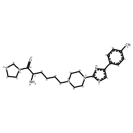 N#Cc1ccc(-c2csc(N3CCN(CCCCC(N)C(=O)N4CCSC4)CC3)n2)cc1